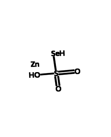 O=S(=O)(O)[SeH].[Zn]